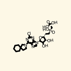 O=P(O)(O)CP(=O)(O)CC[C@H]1O[C@@H](n2cnc3c(N4CCC5(CCCCC5)C4)nc(Cl)nc32)C(O)[C@H]1O